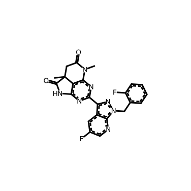 CN1C(=O)CC2(C)C(=O)Nc3nc(-c4nn(Cc5ccccc5F)c5ncc(F)cc45)nc1c32